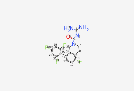 NC(N)=NC(=O)N1CCc2c(F)ccc(-c3c(F)cc(F)cc3F)c2C1